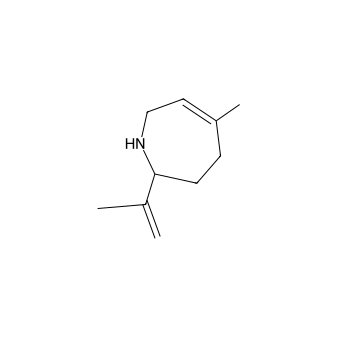 C=C(C)C1CCC(C)=CCN1